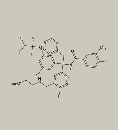 COCCNCc1cc(C(Cc2ccccc2)(NC(=O)c2ccc(F)c(C(F)(F)F)c2)c2cc(F)cc(OC(F)(F)C(F)F)c2)ccc1F